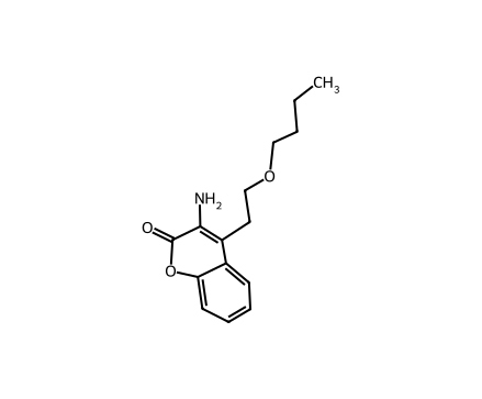 CCCCOCCc1c(N)c(=O)oc2ccccc12